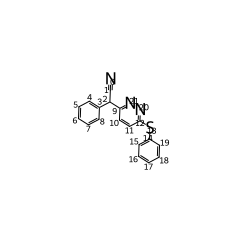 N#CC(c1ccccc1)c1ccc(Sc2ccccc2)nn1